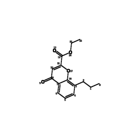 CCCc1cccc2c(=O)cc(C(=O)OCC)oc12